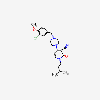 COc1ccc(CN2CCN(c3ccn(CCC(C)C)c(=O)c3C#N)CC2)cc1Cl